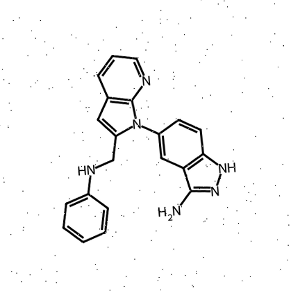 Nc1n[nH]c2ccc(-n3c(CNc4ccccc4)cc4[c]ccnc43)cc12